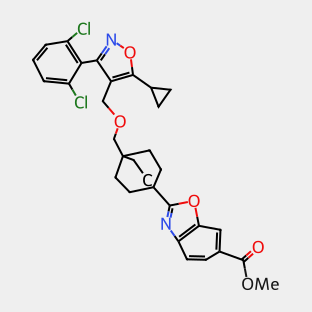 COC(=O)c1ccc2nc(C34CCC(COCc5c(-c6c(Cl)cccc6Cl)noc5C5CC5)(CC3)CC4)oc2c1